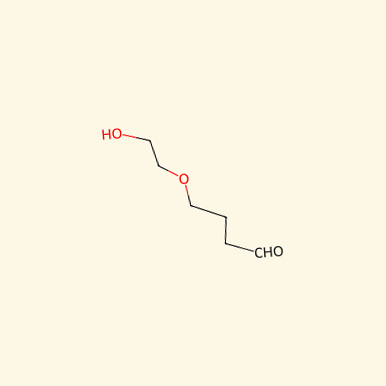 O=CCCCOCCO